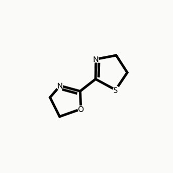 C1COC(C2=NCCS2)=N1